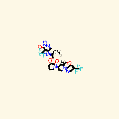 C[C@@H](CO[C@H]1CCCN(C2CCN3c4ncc(C(F)(F)F)cc4OC[C@@H]3C2)C1=O)Nc1cn[nH]c(=O)c1C(F)(F)F